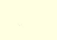 Nc1cccc(OC2=CCC=C2)c1